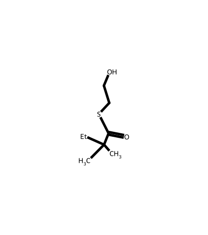 CCC(C)(C)C(=O)SCCO